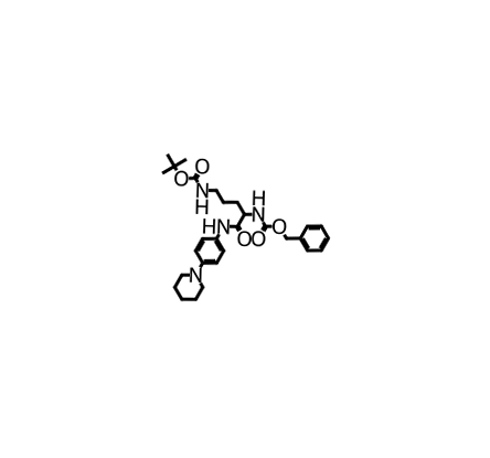 CC(C)(C)OC(=O)NCCCC(NC(=O)OCc1ccccc1)C(=O)Nc1ccc(N2CCCCC2)cc1